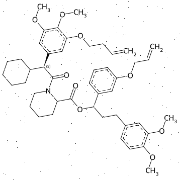 C=CCCOc1cc([C@@H](C(=O)N2CCCCC2C(=O)OC(CCc2ccc(OC)c(OC)c2)c2cccc(OCC=C)c2)C2CCCCC2)cc(OC)c1OC